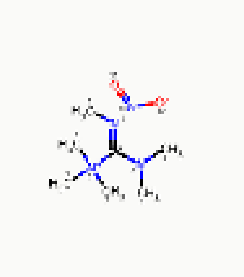 CN=C(N(C)C)[N+](C)(C)C.O=N[O-]